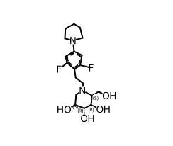 OC[C@H]1[C@@H](O)[C@H](O)[C@@H](O)CN1CCc1c(F)cc(N2CCCCC2)cc1F